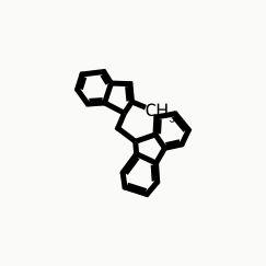 CC1=Cc2ccccc2C1CC1c2ccccc2-c2ccccc21